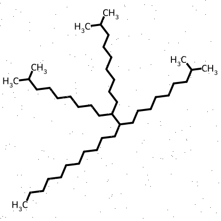 CCCCCCCCCCCC(CCCCCCCC(C)C)[C](CCCCCCCC(C)C)CCCCCCCC(C)C